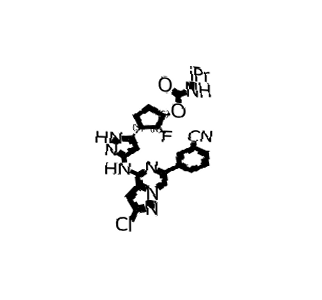 CC(C)NC(=O)O[C@H]1CC[C@@H](c2cc(Nc3nc(-c4cccc(C#N)c4)cn4nc(Cl)cc34)n[nH]2)[C@H]1F